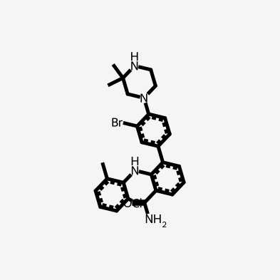 Cc1cccc(Cl)c1Nc1c(C(N)=O)cccc1-c1ccc(N2CCNC(C)(C)C2)c(Br)c1